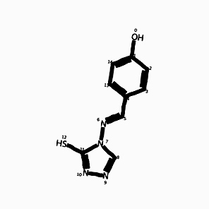 Oc1ccc(C=Nn2cnnc2S)cc1